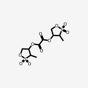 CC1C(OC(=O)C(=O)OC2COS(=O)(=O)C2C)COS1(=O)=O